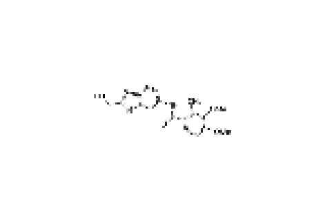 COc1ccc(C(=O)Nc2ccc3sc(CO)nc3c2)c(C)c1OC